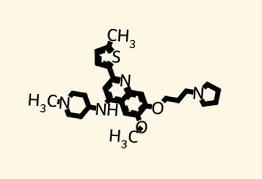 COc1cc2c(NC3CCN(C)CC3)cc(-c3ccc(C)s3)nc2cc1OCCCN1CCCC1